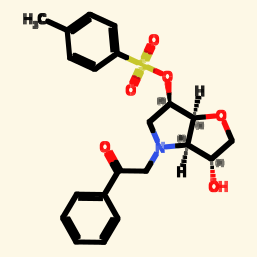 Cc1ccc(S(=O)(=O)O[C@@H]2CN(CC(=O)c3ccccc3)[C@H]3[C@@H]2OC[C@@H]3O)cc1